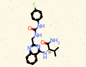 CC(C)[C@H](Nc1nc(CNC(=O)Nc2ccc(F)cc2)nc2ccccc12)C(N)=O